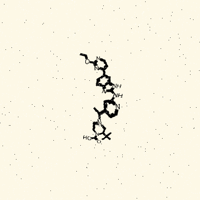 CCOc1nccc(-c2ccc3nc(Nc4cc(C(C)N5CCN(C(=O)O)C(C(C)(C)C)C5)ccn4)[nH]c3c2)n1